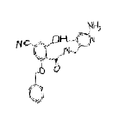 N#Cc1cc(O)c(C(=O)N2Cc3cnc(N)cc3C2)c(OCc2ccccc2)c1